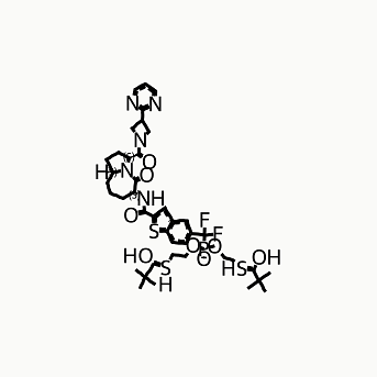 CC(C)(C)C(O)=[SH]CCOP(=O)(OCC[SH]=C(O)C(C)(C)C)C(F)(F)c1ccc2sc(C(=O)N[C@H]3CCC[C@H]4CC[C@@H](C(=O)N5CC(c6ncccn6)C5)N4C3=O)cc2c1